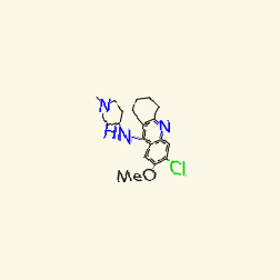 COc1cc2c(NC3CCN(C)CC3)c3c(nc2cc1Cl)CCCC3